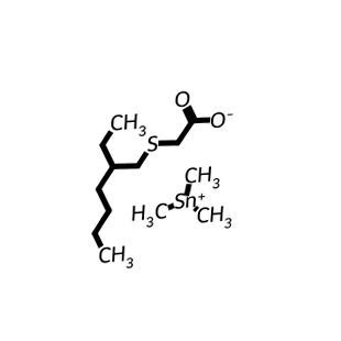 CCCCC(CC)CSCC(=O)[O-].[CH3][Sn+]([CH3])[CH3]